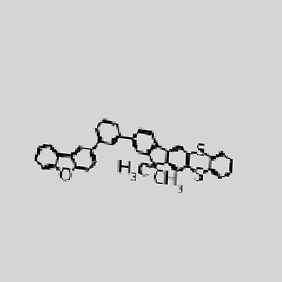 CC1(C)c2cc(-c3cccc(-c4ccc5oc6ccccc6c5c4)c3)ccc2-c2cc3c(cc21)Sc1ccccc1S3